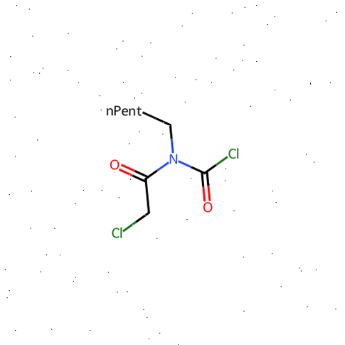 CCCCCCN(C(=O)Cl)C(=O)CCl